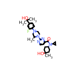 C[C@@H]1CN(c2ccc(C(C)(C)O)cc2F)CCN1c1nccc(C(=O)N(C2CC2)C2CCC(C)(O)CC2)n1